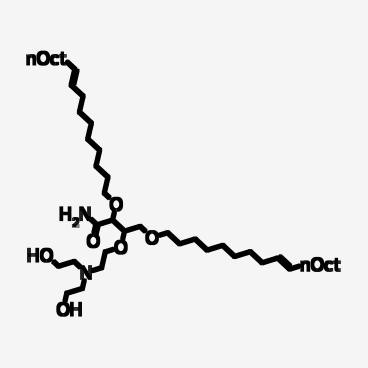 CCCCCCCCC=CCCCCCCCCOCC(OCCN(CCO)CCO)C(OCCCCCCCCC=CCCCCCCCC)C(N)=O